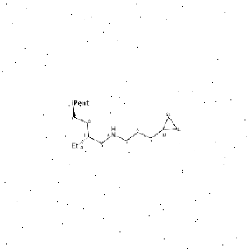 CCC[C@H](C)CC[C@@H](CC)CNCCCC1CC1